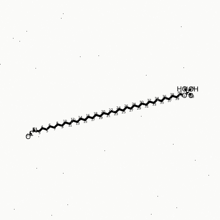 O=C=NCCCCCCCCCCCCCCCCCCCCCCCCCCCCCCCCCCCCCCOP(=O)(O)O